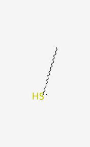 CCCCCCCCCCCCCCCCCCCCCCC[CH]S